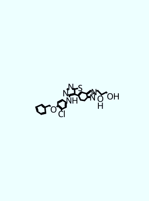 OC[C@H](O)Cn1cc2c(n1)CCc1c-2sc2ncnc(Nc3ccc(OCc4ccccc4)c(Cl)c3)c12